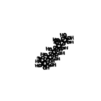 CC(=O)N[C@H]1[C@H](O[C@H]2[C@@H](O)[C@@H](CO)O[C@H](O[C@H]3[C@@H](O)[C@@H](CO)O[C@H](O[C@@H]4[C@H](O)[C@@H](O)[C@H](O[C@H]5[C@H](O)[C@@H](O)[C@H](O)O[C@@H]5CO)O[C@@H]4CO)[C@@H]3O)[C@@H]2O)O[C@H](CO)[C@H](O)[C@@H]1O